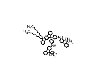 CCCCCCCCC1(CCCCCCCC)c2cc3c(cc2C2C=CC=CC21)C(c1ccc(Nc2ccc4c(c2)C(C)(C)c2ccccc2-4)cc1)(c1ccc(Nc2ccc4c(c2)C(C)(C)c2ccccc2-4)cc1)c1ccccc1-3